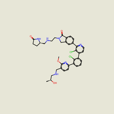 COc1nc(-c2cccc(-c3ccnc(-c4ccc5c(c4)CN(CCNC[C@H]4CCC(=O)N4)C5=O)c3Cl)c2Cl)ccc1CNC[C@H](C)O